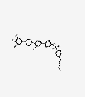 CCCCCc1ccc(C(F)(F)Oc2ccc(-c3ccc(C4CCC(c5cc(F)c(F)c(F)c5)CC4)c(F)c3)cc2)cc1